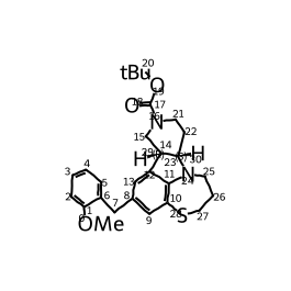 COc1ccccc1Cc1cc2c3c(c1)[C@@H]1CN(C(=O)OC(C)(C)C)CC[C@@H]1N3CCCS2